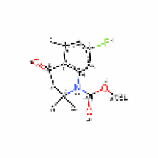 Cc1cc(F)cc2c1C(=O)CC(C)(C)N2C(=O)OC(C)(C)C